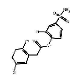 NS(=O)(=O)c1ccc(NC(=O)CC2=C(Cl)[CH]CC(Cl)=C2)c(Cl)c1